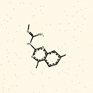 C/N=C(\N)Nc1nc(C)c2ccc(C)cc2n1